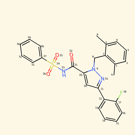 Cc1cccc(C)c1Cn1nc(-c2ccccc2F)cc1C(=O)NS(=O)(=O)c1ccccc1